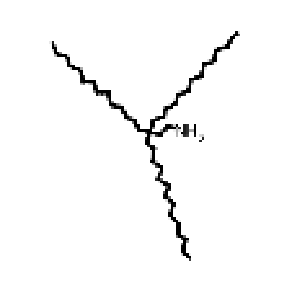 CCCCCCCCCCCCCCC(CCN)(CCCCCCCCCCCCCC)CCCCCCCCCCCCCC